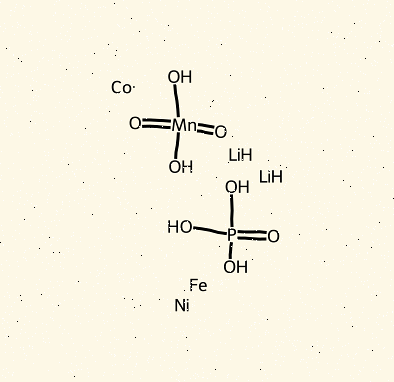 O=P(O)(O)O.[Co].[Fe].[LiH].[LiH].[Ni].[O]=[Mn](=[O])([OH])[OH]